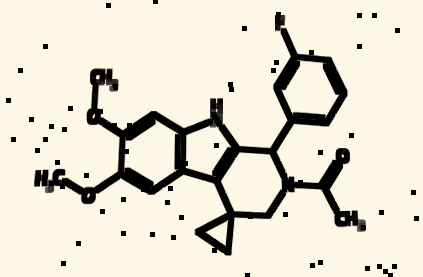 COc1cc2[nH]c3c(c2cc1OC)C1(CC1)CN(C(C)=O)C3c1cccc(F)c1